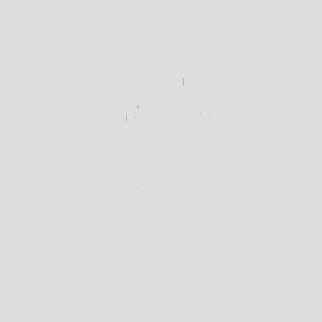 CCOS(=O)OC(C)(C)C